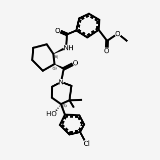 COC(=O)c1cccc(C(=O)N[C@@H]2CCCC[C@@H]2C(=O)N2CC[C@](O)(c3ccc(Cl)cc3)C(C)(C)C2)c1